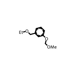 CCOCc1cccc(OCOC)c1